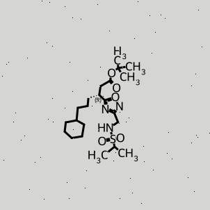 CC(C)S(=O)(=O)NCc1noc([C@H](CCCC2CCCCC2)CC(=O)OC(C)(C)C)n1